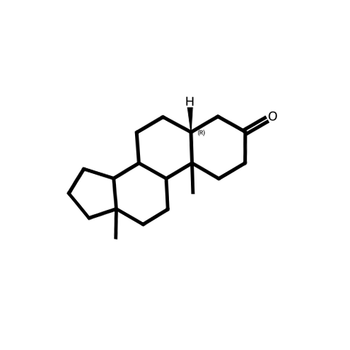 CC12CCCC1C1CC[C@@H]3CC(=O)CCC3(C)C1CC2